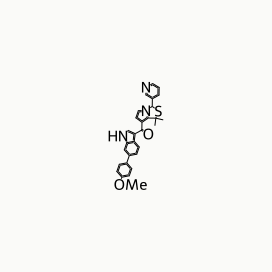 COc1ccc(-c2ccc3c(C(=O)c4ccn5c4C(C)(C)SC5c4cccnc4)c[nH]c3c2)cc1